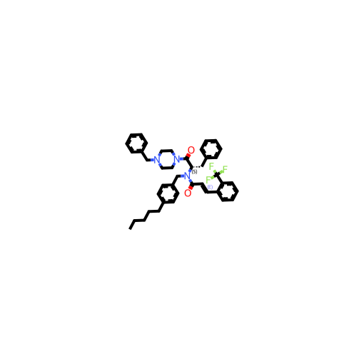 CCCCCc1ccc(CN(C(=O)/C=C/c2ccccc2C(F)(F)F)[C@@H](Cc2ccccc2)C(=O)N2CCN(Cc3ccccc3)CC2)cc1